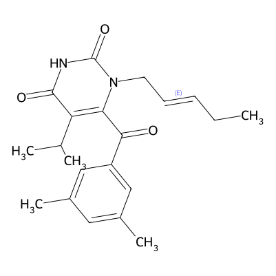 CC/C=C/Cn1c(C(=O)c2cc(C)cc(C)c2)c(C(C)C)c(=O)[nH]c1=O